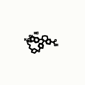 CC1(C)Cc2cc(C3=C(c4ccc(O[C@H]5CCN(CCCF)C5)cc4)c4ccc(C(=O)O)cc4CCC3)ccc2N1.Cl